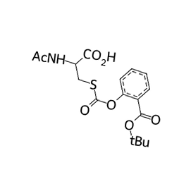 CC(=O)NC(CSC(=O)Oc1ccccc1C(=O)OC(C)(C)C)C(=O)O